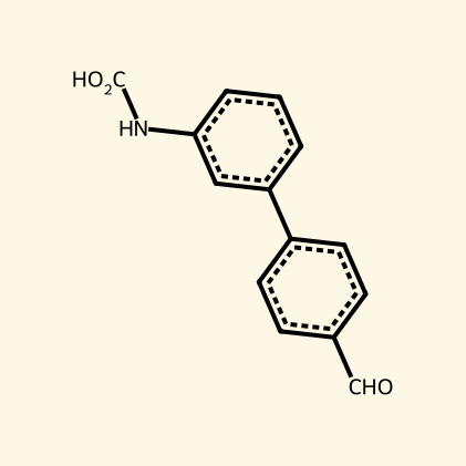 O=Cc1ccc(-c2cccc(NC(=O)O)c2)cc1